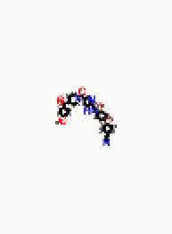 COc1ccc(C(=O)C2CCN(C(=O)c3ccc(C(=O)N[C@H]4CC[C@@H](Oc5ccc(C#N)cc5)CC4)nc3)CC2)cc1